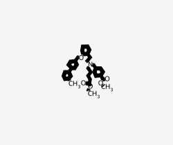 CCOC(=O)CCCCN(CCc1ccccc1OCc1ccc(-c2cccc(C)c2)cc1)Cc1ccc(C(=O)OC)cc1